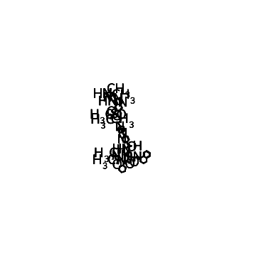 CN[C@@H](C)C(=O)NC(C(=O)N1C[C@@H](NC(=O)c2ccc(N3CCN(CCCOc4cc5ncnc(Nc6n[nH]c(C)c6C)c5cc4S(=O)(=O)C(C)(C)C)CC3)nc2)C[C@H]1C(=O)N[C@@H]1CCCc2ccccc21)C1CCCCC1